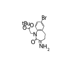 CC(C)(C)OC(=O)CN1C(=O)[C@@H](N)CCc2cc(Br)ccc21